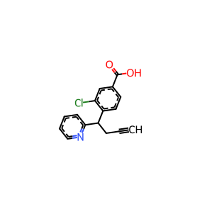 C#CCC(c1ccccn1)c1ccc(C(=O)O)cc1Cl